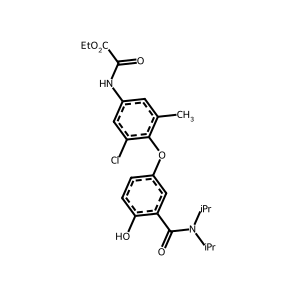 CCOC(=O)C(=O)Nc1cc(C)c(Oc2ccc(O)c(C(=O)N(C(C)C)C(C)C)c2)c(Cl)c1